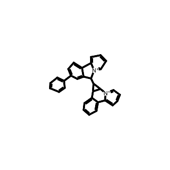 c1ccc(-c2ccc3c(c2)C(C2C4c5ccccc5-c5cccc[n+]5C42)[n+]2ccccc2-3)cc1